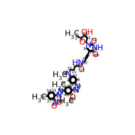 CCC1OC(n2cc(C#CCNC(=O)CCCN(C)c3ccc(/N=N\c4cc(C)c(/N=N/c5ccc(C)cc5[N+](=O)[O-])cc4OC)cc3)c(=O)[nH]c2=O)CC1O